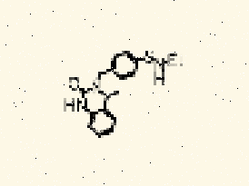 CCNSc1ccc(CN2C(=O)Nc3ccccc3C2C)cc1